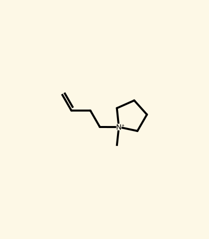 C=CCC[N+]1(C)CCCC1